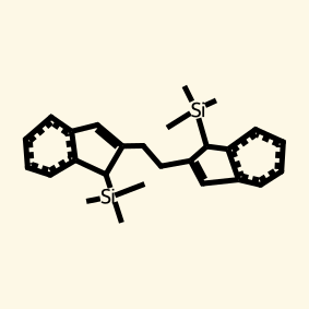 C[Si](C)(C)C1C(CCC2=Cc3ccccc3C2[Si](C)(C)C)=Cc2ccccc21